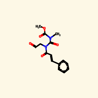 COC(=O)N(C)C(=O)N(C[C]=O)C(=O)C=Cc1ccccc1